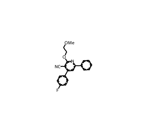 COCCOc1nc(-c2ccccc2)cc(-c2ccc(F)cc2)c1C#N